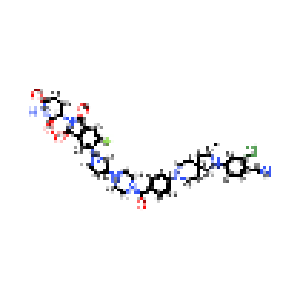 C[C@H]1CC2(CCN(c3ccc(C(=O)N4CCN(C5CCN(c6cc7c(cc6F)C(=O)N(C6CCC(=O)NC6=O)C7=O)C5)CC4)cc3)CC2)CN1c1ccc(C#N)c(Cl)c1